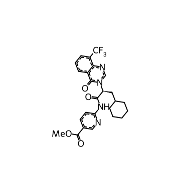 COC(=O)c1ccc(NC(=O)[C@H](CC2CCCCC2)n2cnc3c(C(F)(F)F)cccc3c2=O)nc1